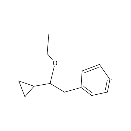 CCOC(Cc1cc[c]cc1)C1CC1